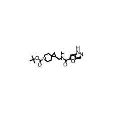 CC(C)(C)OC(=O)N1CCC2(CC1)CC2CNC(=O)c1cc2[nH]ncc2o1